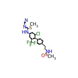 CS/C(=N\C#N)Nc1cc(Cl)c(-c2ccc(CCN[S+](C)[O-])cc2)c(C(F)(F)F)c1